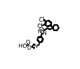 O=C(O)OC1CN(Cc2ccc(-c3noc(CCC4(c5ccc(Cl)c(Cl)c5)CCCCC4)n3)cc2)C1